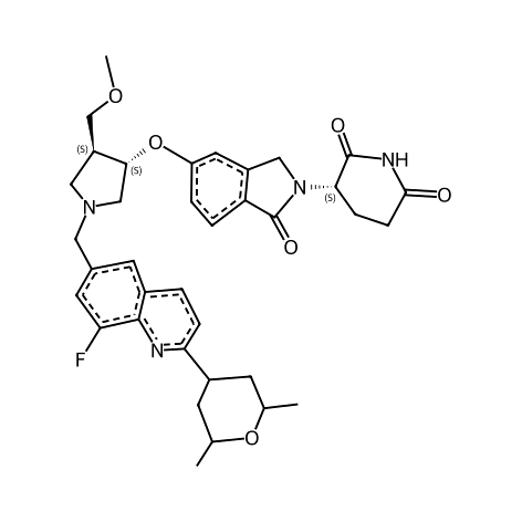 COC[C@@H]1CN(Cc2cc(F)c3nc(C4CC(C)OC(C)C4)ccc3c2)C[C@H]1Oc1ccc2c(c1)CN([C@H]1CCC(=O)NC1=O)C2=O